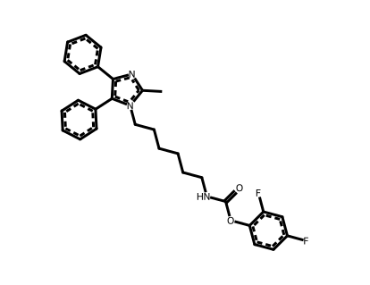 Cc1nc(-c2ccccc2)c(-c2ccccc2)n1CCCCCCNC(=O)Oc1ccc(F)cc1F